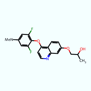 CNc1cc(F)c(Oc2ccnc3cc(OCC(C)O)ccc23)c(F)c1